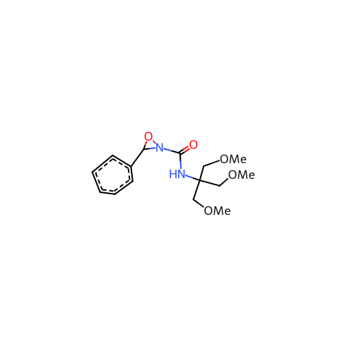 COCC(COC)(COC)NC(=O)N1OC1c1ccccc1